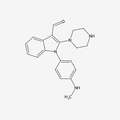 CNc1ccc(-n2c(N3CCNCC3)c(C=O)c3ccccc32)cc1